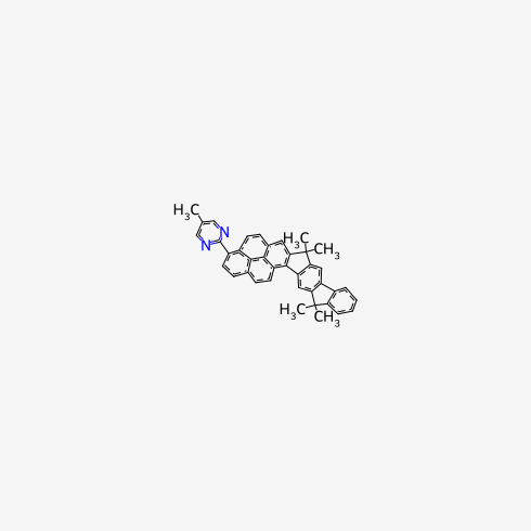 Cc1cnc(-c2ccc3ccc4c5c(cc6ccc2c3c64)C(C)(C)c2cc3c(cc2-5)C(C)(C)c2ccccc2-3)nc1